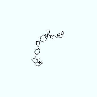 Cc1c(-c2ccc(OC3CCN(C(=O)OCCN4CCOCC4)CC3)cc2)ccc2cccnc12